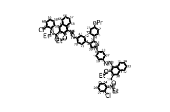 CCCc1ccc(-c2nn(-c3ccc(N=Nc4c(OCC)c(CON(CC)c5ccccc5Cl)cc5ccccc45)cc3)cc2-c2ccc(N=Nc3c(OCC)c(C(=O)N(CC)c4ccccc4Cl)cc4ccccc34)cc2)cc1